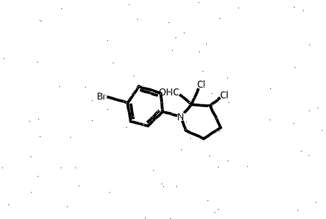 O=CC1(Cl)C(Cl)CCCN1c1ccc(Br)cc1